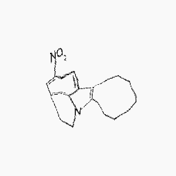 O=[N+]([O-])c1cc2c3c(c1)c1c(n3CC2)CCCCCC1